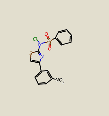 O=[N+]([O-])c1cccc(-c2csc(N(Cl)S(=O)(=O)c3ccccc3)n2)c1